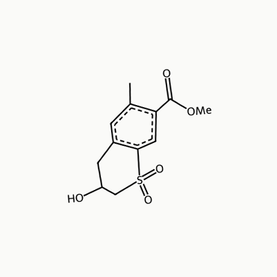 COC(=O)c1cc2c(cc1C)CC(O)CS2(=O)=O